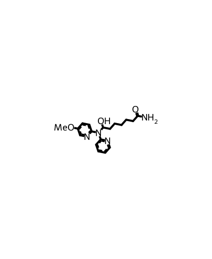 COc1ccc(N(c2ccccn2)C(O)CCCCCC(N)=O)nc1